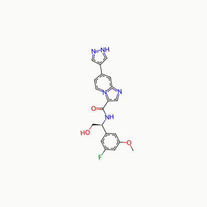 COc1cc(F)cc([C@@H](CO)NC(=O)c2cnc3cc(-c4cn[nH]c4)ccn23)c1